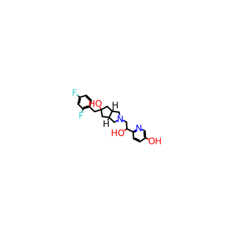 Oc1ccc(C(O)CN2C[C@@H]3C[C@](O)(Cc4ccc(F)cc4F)C[C@@H]3C2)nc1